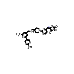 CN(C)c1ncc(-c2cc(CNCC3CCN(c4nccc(/C=C5/SC(=O)NC5=O)n4)CC3)cc(C(F)(F)F)n2)cn1